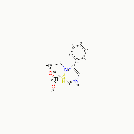 CCN1C(c2ccccc2)=CN=C[SH]1[Ti](=[O])=[O]